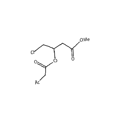 COC(=O)CC(CCl)OC(=O)CC(C)=O